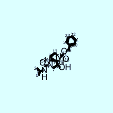 CC(C)NC(=O)N1C[C@H](O)[C@@H]2[C@H]1CCN2C(=O)OCc1ccccc1